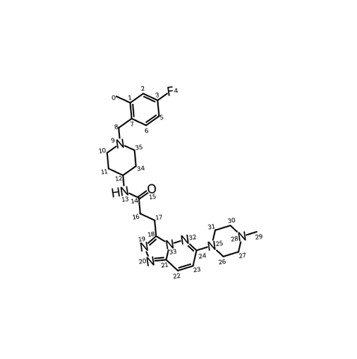 Cc1cc(F)ccc1CN1CCC(NC(=O)CCc2nnc3ccc(N4CCN(C)CC4)nn23)CC1